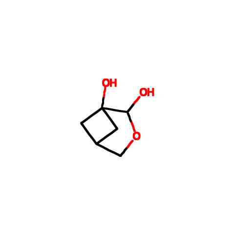 OC1OCC2CC1(O)C2